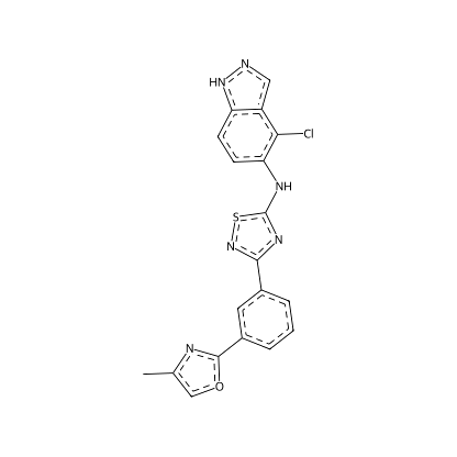 Cc1coc(-c2cccc(-c3nsc(Nc4ccc5[nH]ncc5c4Cl)n3)c2)n1